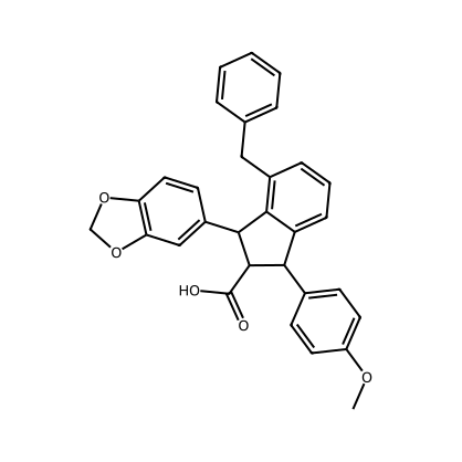 COc1ccc(C2c3cccc(Cc4ccccc4)c3C(c3ccc4c(c3)OCO4)C2C(=O)O)cc1